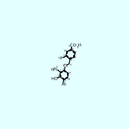 CCCc1c(OCc2ccc(C(=O)O)cc2F)ccc(C(C)=O)c1O